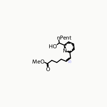 CCCCCC(O)c1cccc(/C=C\CCCC(=O)OC)n1